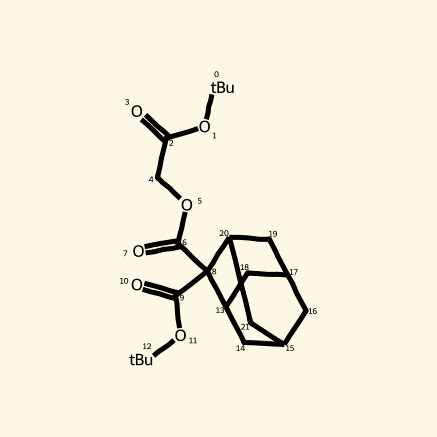 CC(C)(C)OC(=O)COC(=O)C1(C(=O)OC(C)(C)C)C2CC3CC(C2)CC1C3